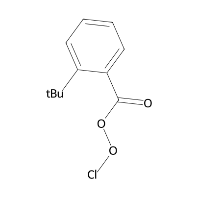 CC(C)(C)c1ccccc1C(=O)OOCl